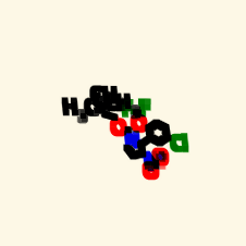 C[Si](C)(C)CCOCn1ccc([N+](=O)[O-])c1-c1cc(Cl)ccc1OC(F)F